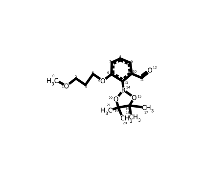 COCCCOc1cccc(C=O)c1B1OC(C)(C)C(C)(C)O1